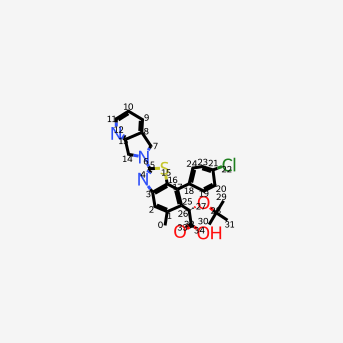 Cc1cc2nc(N3Cc4cccnc4C3)sc2c(-c2ccc(Cl)cc2)c1[C@H](OC(C)(C)C)C(=O)O